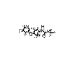 CC1(C)CC1C(=O)Nc1ccc(Oc2cncc(F)c2)cn1